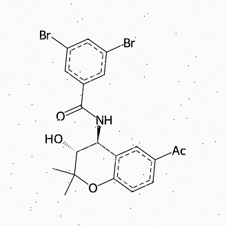 CC(=O)c1ccc2c(c1)[C@H](NC(=O)c1cc(Br)cc(Br)c1)[C@@H](O)C(C)(C)O2